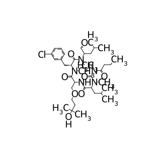 CCCC(=O)N(C)C(=O)N(C)C(CC(C)C)C(=O)NC(COCCC(C)(C)O)C(=O)N(C)[C@@H](Cc1cccc(Cl)c1)C(=O)N(C)C(C=O)CC(C)C